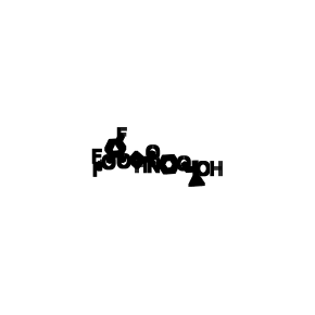 CC(O)(COC1CCC(NC(=O)C2CC(Oc3cc(F)ccc3OC(F)F)C2)CC1)C1CC1